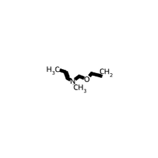 C=CCOCN(C)/C=C/C